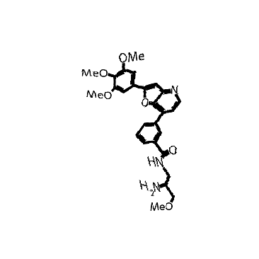 COCC(N)CNC(=O)c1cccc(-c2ccnc3cc(-c4cc(OC)c(OC)c(OC)c4)oc23)c1